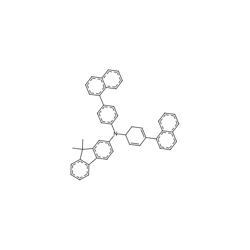 CC1(C)c2ccccc2-c2ccc(N(c3ccc(-c4cccc5ccccc45)cc3)C3C=CC(c4cccc5ccccc45)=CC3)cc21